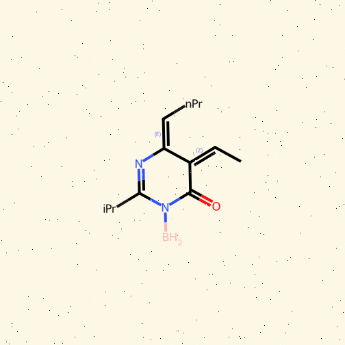 Bn1c(C(C)C)nc(=C/CCC)/c(=C/C)c1=O